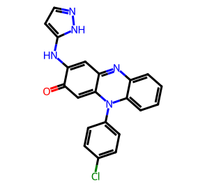 O=c1cc2n(-c3ccc(Cl)cc3)c3ccccc3nc-2cc1Nc1ccn[nH]1